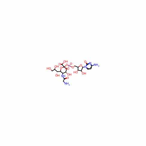 NCC(=O)NC1C([C@H](O)C(O)CO)OC(OP(=O)(O)OCC2OC(n3ccc(N)nc3=O)C(O)[C@H]2O)(C(=O)O)C[C@H]1O